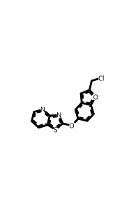 ClCc1cc2cc(Oc3nc4ncccc4s3)ccc2o1